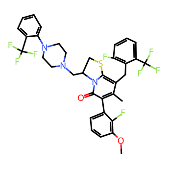 COc1cccc(-c2c(C)c(Cc3c(F)cccc3C(F)(F)F)c3n(c2=O)C(CN2CCN(c4ccccc4C(F)(F)F)CC2)CS3)c1F